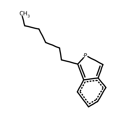 CCCCCCC1=c2ccccc2=C[P]1